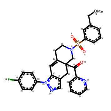 COCc1cccc(S(=O)(=O)N2CCC3=Cc4c(cnn4-c4ccc(F)cc4)CC3(C(=O)c3ccccn3)C2)c1